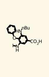 CCCCNc1cc(C(=O)O)cc(NI)c1Oc1ccccc1